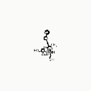 CO[C@@H]1[C@@H](CO)C[C@@H](Nc2nc(NCCCO)nc(C)c2C#Cc2ccc(-c3ccccn3)s2)[C@@H]1OC